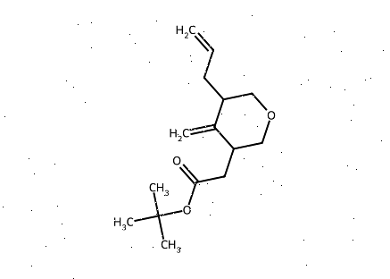 C=CCC1COCC(CC(=O)OC(C)(C)C)C1=C